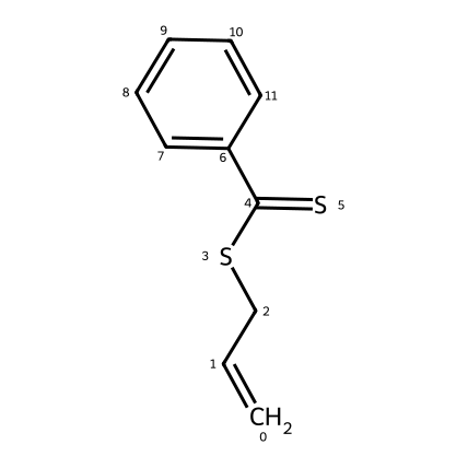 C=CCSC(=S)c1ccccc1